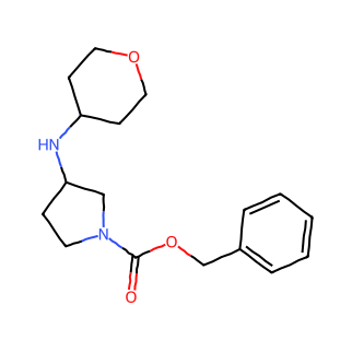 O=C(OCc1ccccc1)N1CCC(NC2CCOCC2)C1